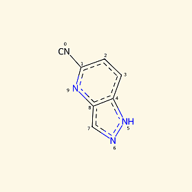 [C-]#[N+]c1ccc2[nH]ncc2n1